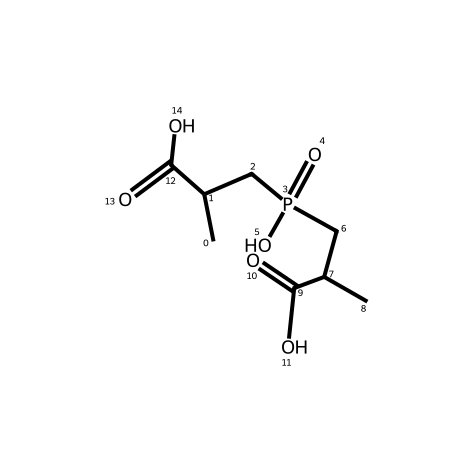 CC(CP(=O)(O)CC(C)C(=O)O)C(=O)O